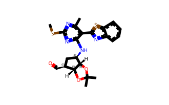 CSc1nc(C)c(-c2nc3ccccc3s2)c(N[C@@H]2C[C@H](C=O)[C@H]3OC(C)(C)O[C@H]32)n1